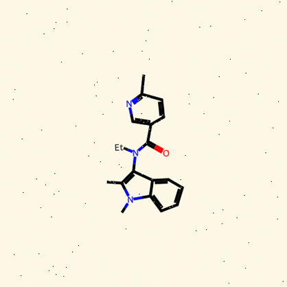 CCN(C(=O)c1ccc(C)nc1)c1c(C)n(C)c2ccccc12